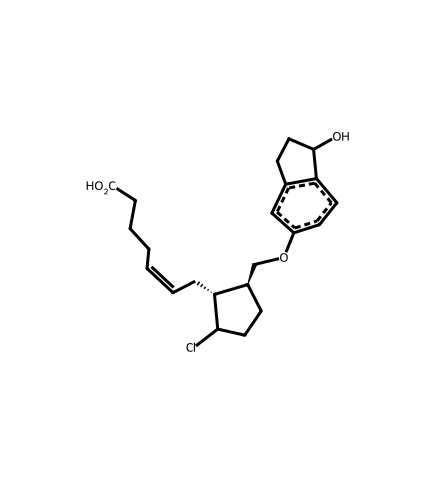 O=C(O)CCC/C=C\C[C@H]1C(Cl)CC[C@@H]1COc1ccc2c(c1)CCC2O